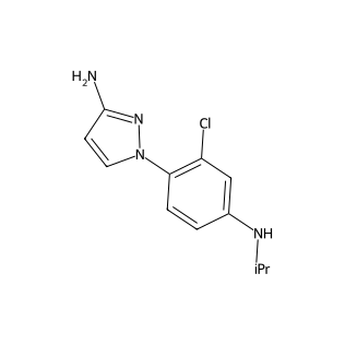 CC(C)Nc1ccc(-n2ccc(N)n2)c(Cl)c1